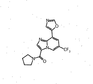 O=C(c1cnc2c(-c3cnco3)cc(C(F)(F)F)cn12)N1CCCC1